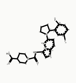 O=C(O)C1CCN(C(=O)Nc2cnc3ccc(N4CCCC4c4cc(F)ccc4F)nn23)CC1